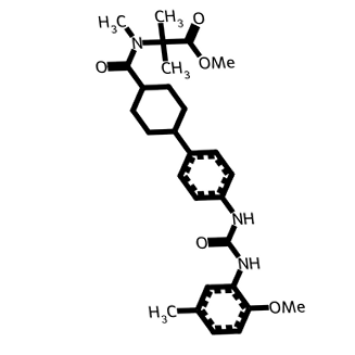 COC(=O)C(C)(C)N(C)C(=O)C1CCC(c2ccc(NC(=O)Nc3cc(C)ccc3OC)cc2)CC1